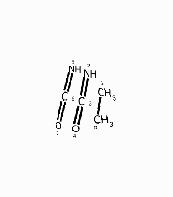 CC.N=C=O.N=C=O